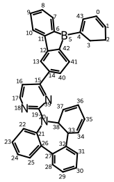 C1=CCCC(B2c3ccccc3-c3cc(-c4ccnc(N5c6ccccc6-c6ccccc6C6C=CC=CC65)n4)ccc32)=C1